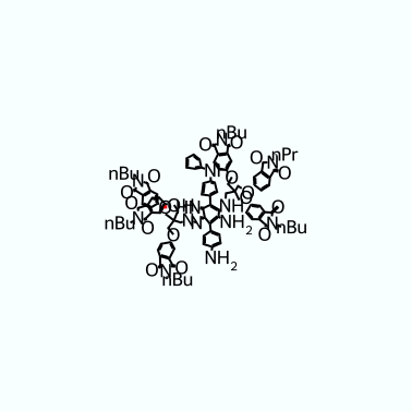 CCCCN1C(=O)c2ccc(OCC(CN/N=C3\C(=N)C(c4ccc(Nc5ccccc5)cc4)=C(NCC(COc4ccc5c(c4)C(=O)N(CCC)C5=O)(COc4ccc5c(c4)C(=O)N(CCCC)C5=O)COc4ccc5c(c4)C(=O)N(CCCC)C5=O)C(N)=C3c3ccc(N)cc3)(COc3ccc4c(c3)C(=O)N(CCCC)C4=O)COc3ccc4c(c3)C(=O)N(CCCC)C4=O)cc2C1=O